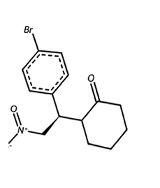 O=C1CCCCC1[C@@H](C[N+](=O)[O-])c1ccc(Br)cc1